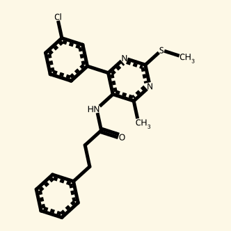 CSc1nc(C)c(NC(=O)CCc2ccccc2)c(-c2cccc(Cl)c2)n1